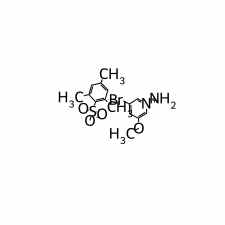 COc1cc(Br)c[n+](N)c1.Cc1cc(C)c(S(=O)(=O)[O-])c(C)c1